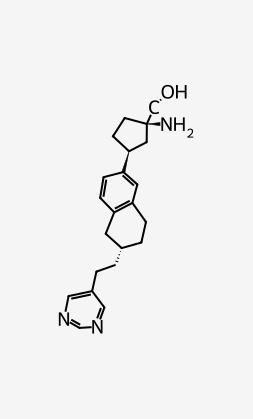 N[C@]1(CO)CC[C@H](c2ccc3c(c2)CC[C@H](CCc2cncnc2)C3)C1